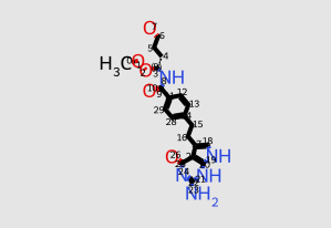 COO[C@H](CCC=O)NC(=O)c1ccc(CCc2c[nH]c3[nH]c(N)nc(=O)c23)cc1